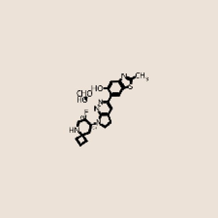 Cc1nc2cc(O)c(-c3cc4c(nn3)N([C@H]3CC5(CCC5)NC[C@H]3F)CC4)cc2s1.O=CO